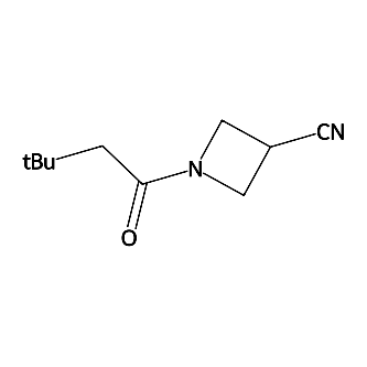 CC(C)(C)CC(=O)N1CC(C#N)C1